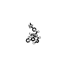 Cc1noc(C2CCN(C(=O)[C@H](CNC(=O)c3ccc(Cl)s3)NS(=O)(=O)c3cccc(N4CCCCC4=O)c3OC(F)F)CC2)n1